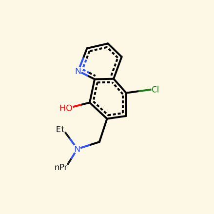 CCCN(CC)Cc1cc(Cl)c2cccnc2c1O